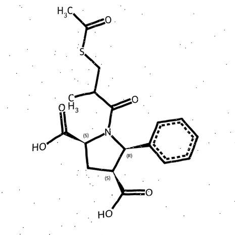 CC(=O)SCC(C)C(=O)N1[C@H](C(=O)O)C[C@H](C(=O)O)[C@@H]1c1ccccc1